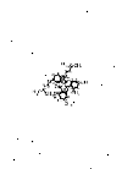 Cc1cc(C)c(C(=O)P(=O)(C(=O)c2c(C)cc(C)cc2C)c2cc(OCCC(C)C)ccc2OCCC(C)C)c(C)c1